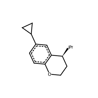 CC(C)[C@H]1CCOc2ccc(C3CC3)cc21